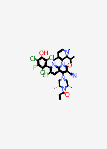 C=CC(=O)N1[C@H](C)CN(c2c(C#N)c(=O)n(C3=C(C)C=CN(C)C3C(C)C)c3nc(-c4c(Cl)c(O)c(Cl)c(F)c4Cl)c(Cl)cc23)C[C@@H]1C